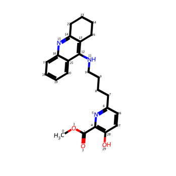 COC(=O)c1nc(CCCCNc2c3c(nc4ccccc24)CCCC3)ccc1O